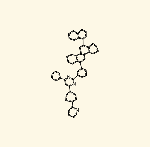 c1ccc(-c2cc(-c3ccc(-c4ccccn4)cc3)nc(-c3cccc(-c4cc5c6ccccc6c(-c6cccc7ccccc67)cc5c5ccccc45)c3)n2)cc1